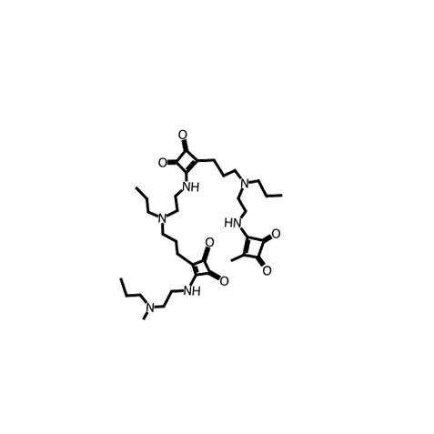 CCCN(C)CCNc1c(CCCN(CCC)CCNc2c(CCCN(CCC)CCNc3c(C)c(=O)c3=O)c(=O)c2=O)c(=O)c1=O